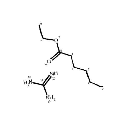 CCCCCC(=O)OCC.N=C(N)N